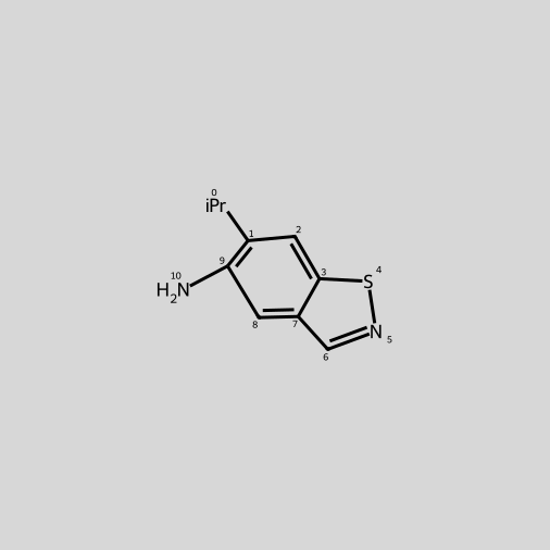 CC(C)c1cc2sncc2cc1N